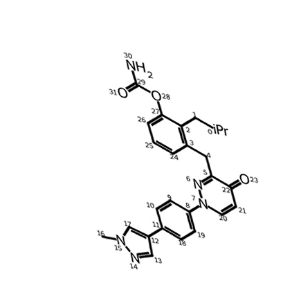 CC(C)Cc1c(Cc2nn(-c3ccc(-c4cnn(C)c4)cc3)ccc2=O)cccc1OC(N)=O